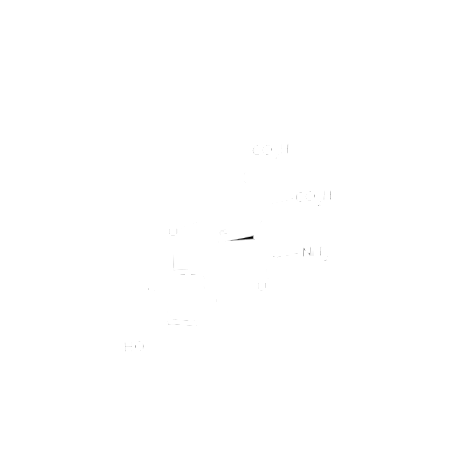 NC(=O)C(C(CC(=O)O)C(=O)O)[C@@H]1COc2cc(O)ccc21